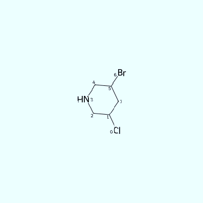 ClC1CNCC(Br)C1